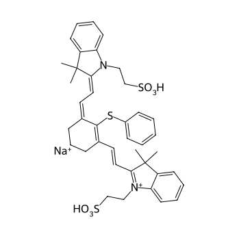 CC1(C)C(=CC=C2CCCC(C=CC3=[N+](CCS(=O)(=O)O)c4ccccc4C3(C)C)=C2Sc2ccccc2)N(CCS(=O)(=O)O)c2ccccc21.[Na+]